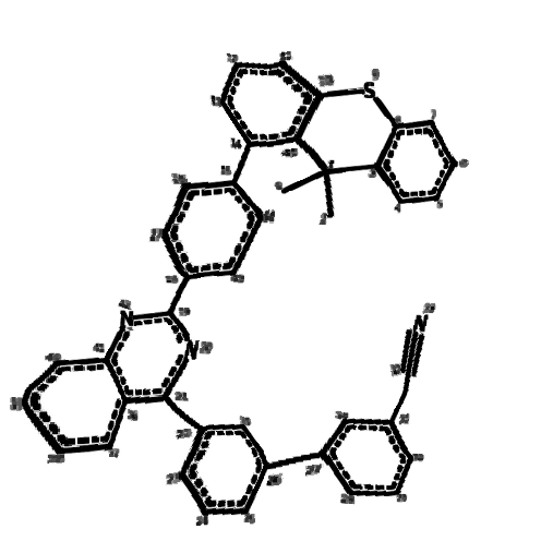 CC1(C)c2ccccc2Sc2cccc(-c3ccc(-c4nc(-c5cccc(-c6cccc(C#N)c6)c5)c5ccccc5n4)cc3)c21